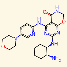 N[C@H]1CCCC[C@H]1Nc1nc(Nc2ccc(N3CCOCC3)cn2)c2c(n1)OCNC2=O